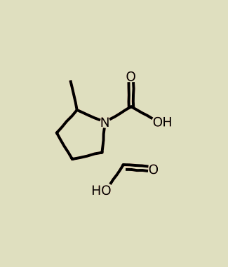 CC1CCCN1C(=O)O.O=CO